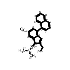 CC(C)CC1=Cc2c(-c3cccc4ccccc34)cccc2[CH]1[Zr+2][Si](C)C.[Cl-].[Cl-]